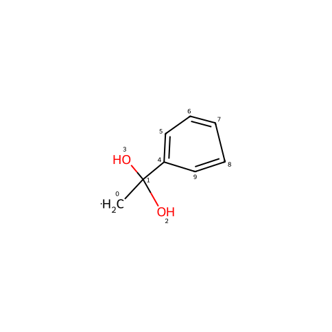 [CH2]C(O)(O)c1ccccc1